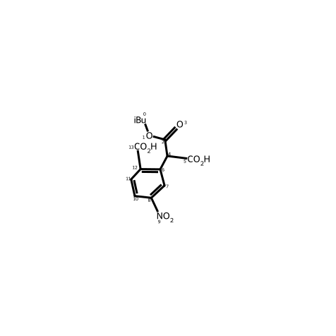 CCC(C)OC(=O)C(C(=O)O)c1cc([N+](=O)[O-])ccc1C(=O)O